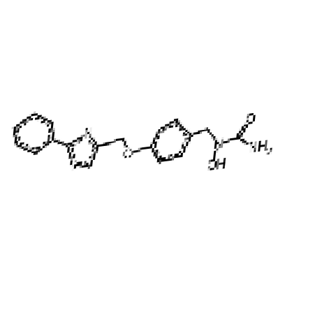 NC(=O)N(O)Cc1ccc(OCc2csc(-c3ccccc3)n2)cc1